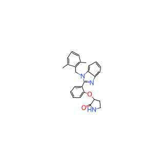 Cc1cccc(C)c1Cn1c(-c2ccccc2OC2CCNC2=O)nc2ccccc21